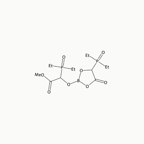 CCP(=O)(CC)C(OB1OC(=O)C(P(=O)(CC)CC)O1)C(=O)OC